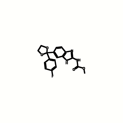 COC(=O)Nc1nc2ccc(C3(c4ccc(F)cc4)OCCO3)cc2[nH]1